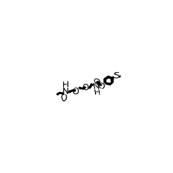 CCC(=O)NCCOCCOCCNC(=O)OC1CCC(SC)CC1